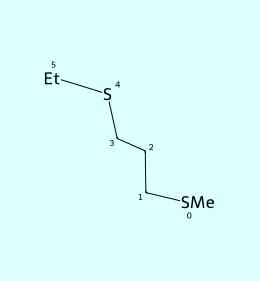 [CH2]SCCCSCC